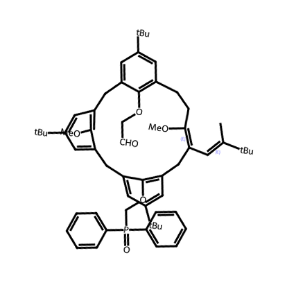 C/C(=C\C1=C(\O[13CH3])CCc2cc(C(C)(C)C)cc(c2OCC=O)Cc2cc(C(C)(C)C)cc(c2O[13CH3])Cc2cc(C(C)(C)C)cc(c2OCP(=O)(c2ccccc2)c2ccccc2)C1)C(C)(C)C